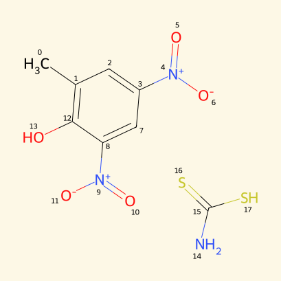 Cc1cc([N+](=O)[O-])cc([N+](=O)[O-])c1O.NC(=S)S